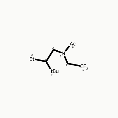 CCC(CN(CC(F)(F)F)C(C)=O)C(C)(C)C